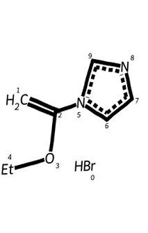 Br.C=C(OCC)n1ccnc1